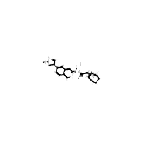 Cn1cc(-c2ccc3cnc(NC(=O)CN4C5CCC4CC5)cc3c2)cn1